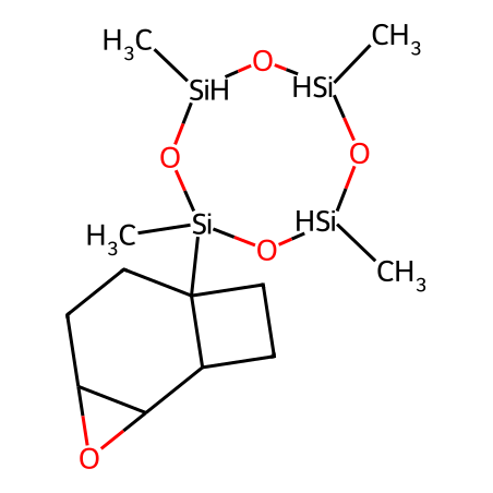 C[SiH]1O[SiH](C)O[Si](C)(C23CCC4OC4C2CC3)O[SiH](C)O1